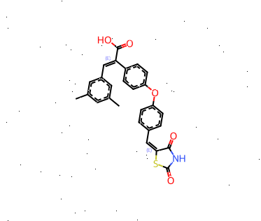 Cc1cc(C)cc(/C=C(/C(=O)O)c2ccc(Oc3ccc(/C=C4/SC(=O)NC4=O)cc3)cc2)c1